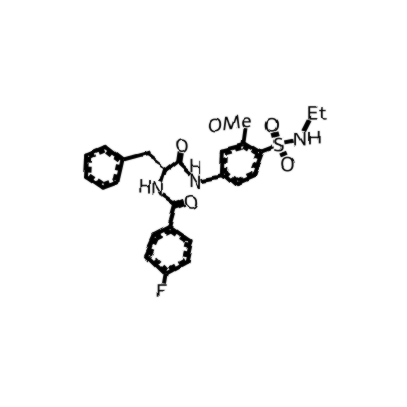 CCNS(=O)(=O)c1ccc(NC(=O)[C@H](Cc2ccccc2)NC(=O)c2ccc(F)cc2)cc1OC